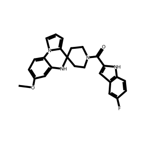 COc1ccc2c(c1)NC1(CCN(C(=O)c3cc4cc(F)ccc4[nH]3)CC1)c1cccn1-2